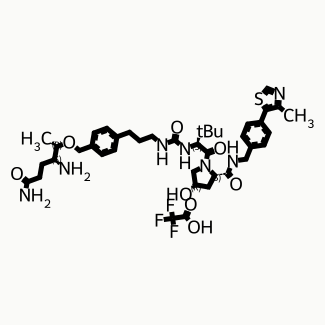 Cc1ncsc1-c1ccc(CNC(=O)[C@@H]2C[C@@H](O)CN2C(=O)[C@@H](NC(=O)NCCCc2ccc(CO[C@H](C)[C@@H](N)CCC(N)=O)cc2)C(C)(C)C)cc1.O=C(O)C(F)(F)F